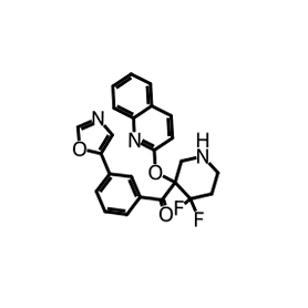 O=C(c1cccc(-c2cnco2)c1)C1(Oc2ccc3ccccc3n2)CNCCC1(F)F